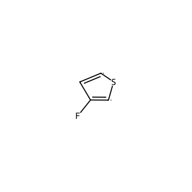 Fc1[c]s[c]c1